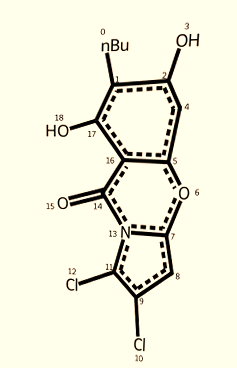 CCCCc1c(O)cc2oc3cc(Cl)c(Cl)n3c(=O)c2c1O